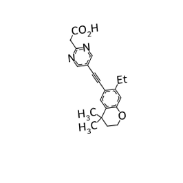 CCc1cc2c(cc1C#Cc1cnc(CC(=O)O)nc1)C(C)(C)CCO2